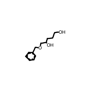 OCCCC(O)COCc1ccccc1